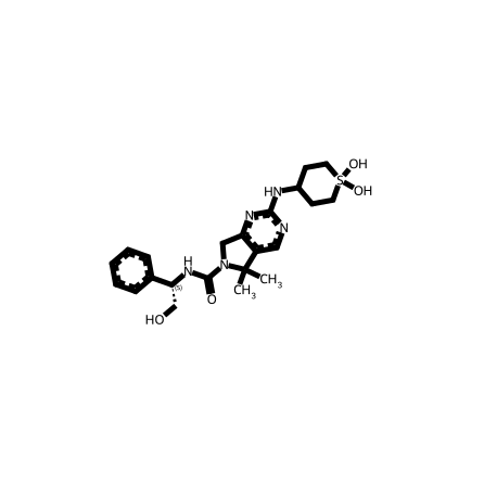 CC1(C)c2cnc(NC3CCS(O)(O)CC3)nc2CN1C(=O)N[C@H](CO)c1ccccc1